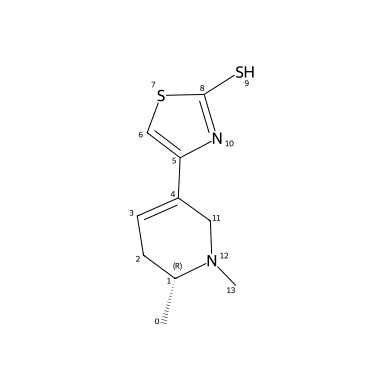 C[C@@H]1CC=C(c2csc(S)n2)CN1C